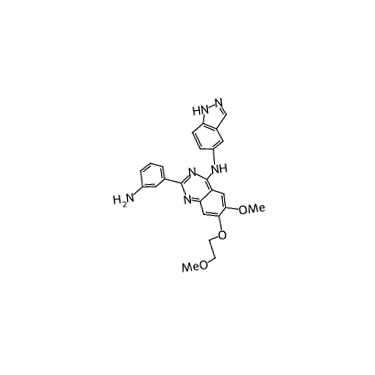 COCCOc1cc2nc(-c3cccc(N)c3)nc(Nc3ccc4[nH]ncc4c3)c2cc1OC